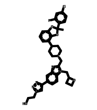 CC1(c2ccc(Cl)cc2F)Oc2cccc(C3CCN(Cc4nc5cc(-c6cn(CCO)nn6)ccc5n4CC4CCO4)CC3)c2O1